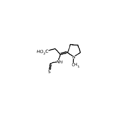 CN1CCC/C1=C(\CC(=O)O)NC=S